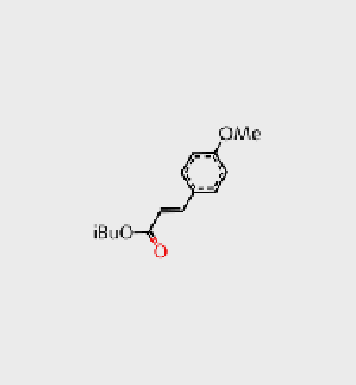 COc1ccc(C=CC(=O)OCC(C)C)cc1